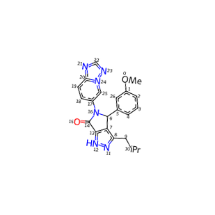 COc1cccc(C2c3c(CC(C)C)n[nH]c3C(=O)N2c2ccc3ncnn3c2)c1